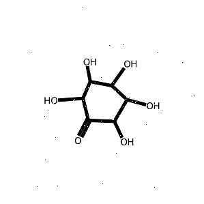 O=C1C(O)C(O)C(O)C(O)C1O